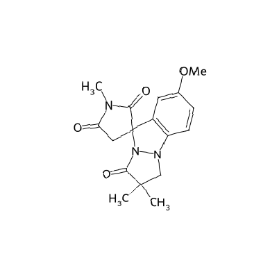 COc1ccc2c(c1)C1(CC(=O)N(C)C1=O)N1C(=O)C(C)(C)CN21